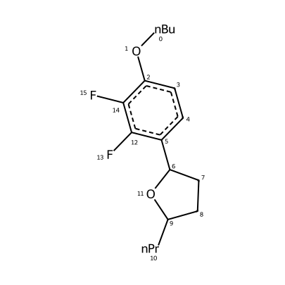 CCCCOc1ccc(C2CCC(CCC)O2)c(F)c1F